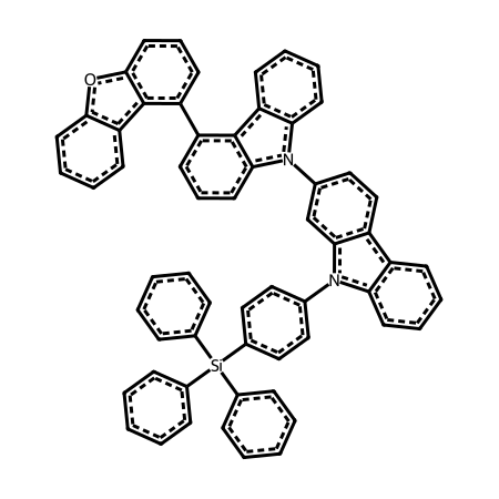 c1ccc([Si](c2ccccc2)(c2ccccc2)c2ccc(-n3c4ccccc4c4ccc(-n5c6ccccc6c6c(-c7cccc8oc9ccccc9c78)cccc65)cc43)cc2)cc1